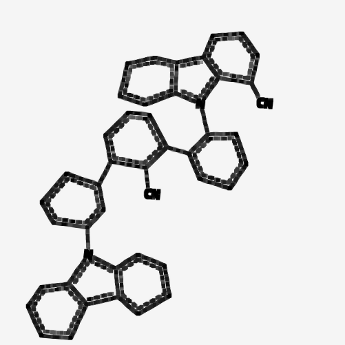 N#Cc1c(-c2cccc(-n3c4ccccc4c4ccccc43)c2)cccc1-c1ccccc1-n1c2ccccc2c2cccc(C#N)c21